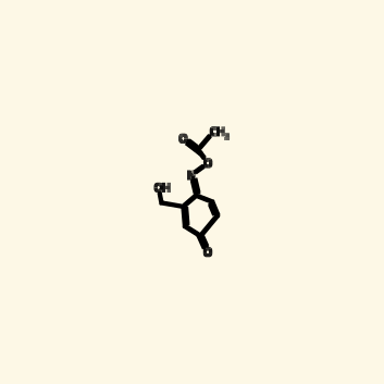 CC(=O)ON=C1C=CC(=O)C=C1CO